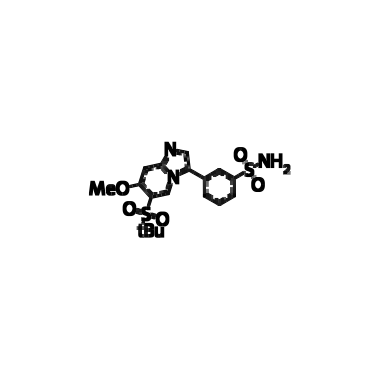 COc1cc2ncc(-c3cccc(S(N)(=O)=O)c3)n2cc1S(=O)(=O)C(C)(C)C